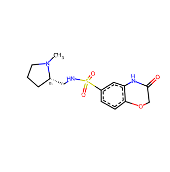 CN1CCC[C@H]1CNS(=O)(=O)c1ccc2c(c1)NC(=O)CO2